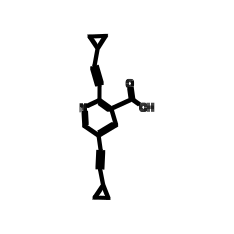 O=C(O)c1cc(C#CC2CC2)cnc1C#CC1CC1